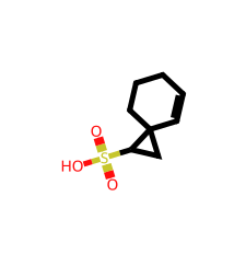 O=S(=O)(O)C1CC12C=CCCC2